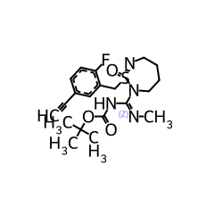 C#Cc1ccc(F)c(CS2(=O)=NCCCCN2/C(=N\C)NC(=O)OC(C)(C)C)c1